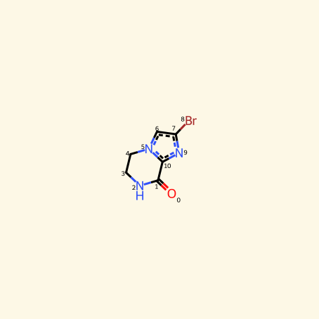 O=C1NCCn2cc(Br)nc21